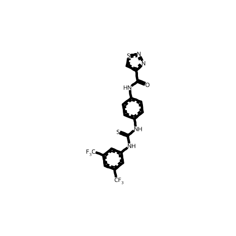 O=C(Nc1ccc(NC(=S)Nc2cc(C(F)(F)F)cc(C(F)(F)F)c2)cc1)c1csnn1